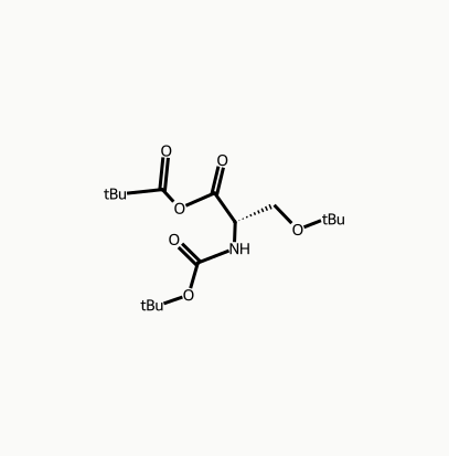 CC(C)(C)OC[C@H](NC(=O)OC(C)(C)C)C(=O)OC(=O)C(C)(C)C